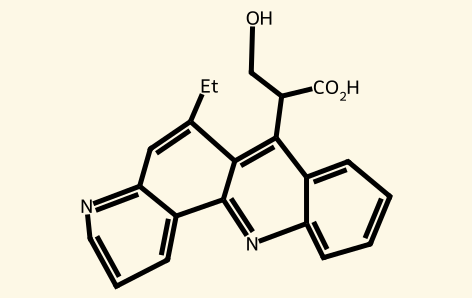 CCc1cc2ncccc2c2nc3ccccc3c(C(CO)C(=O)O)c12